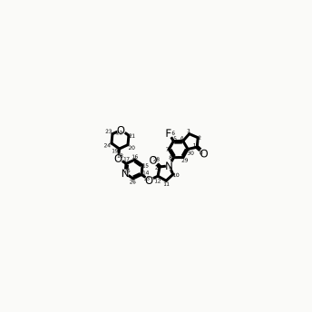 O=C1CCc2c(F)cc(N3CCC(Oc4ccc(OC5CCOCC5)nc4)C3=O)cc21